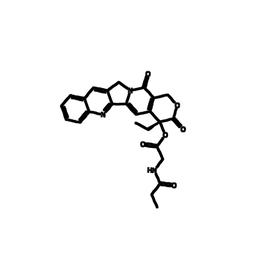 CCC(=O)NCC(=O)O[C@@]1(CC)C(=O)OCc2c1cc1n(c2=O)Cc2cc3ccccc3nc2-1